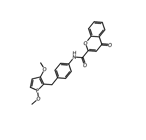 COc1ccp(OC)c1Cc1ccc(NC(=O)c2cc(=O)c3ccccc3o2)cc1